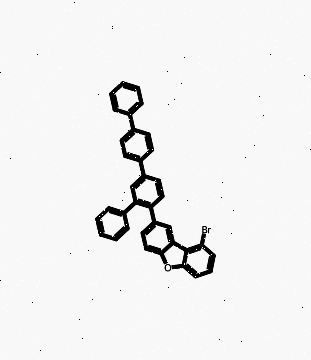 Brc1cccc2oc3ccc(-c4ccc(-c5ccc(-c6ccccc6)cc5)cc4-c4ccccc4)cc3c12